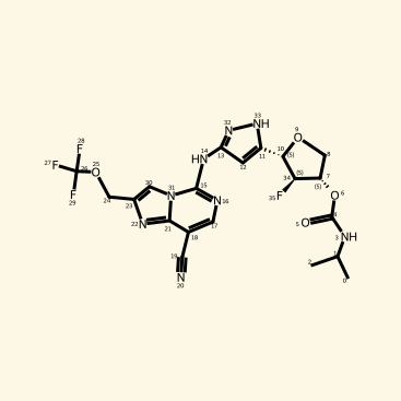 CC(C)NC(=O)O[C@H]1CO[C@@H](c2cc(Nc3ncc(C#N)c4nc(COC(F)(F)F)cn34)n[nH]2)[C@@H]1F